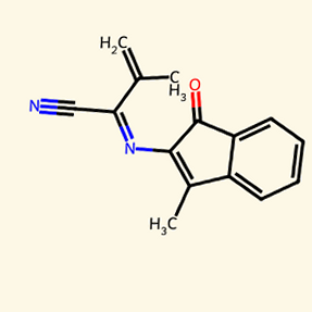 C=C(C)/C(C#N)=N\C1=C(C)c2ccccc2C1=O